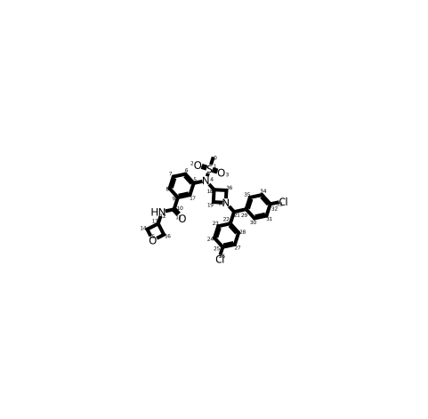 CS(=O)(=O)N(c1cccc(C(=O)NC2COC2)c1)C1CN(C(c2ccc(Cl)cc2)c2ccc(Cl)cc2)C1